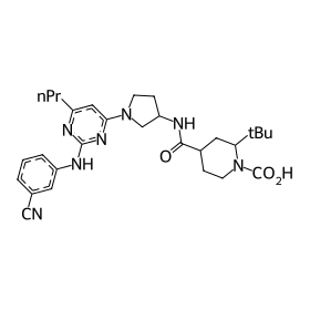 CCCc1cc(N2CCC(NC(=O)C3CCN(C(=O)O)C(C(C)(C)C)C3)C2)nc(Nc2cccc(C#N)c2)n1